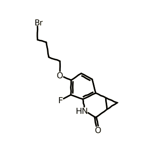 O=C1Nc2c(ccc(OCCCCBr)c2F)C2CC12